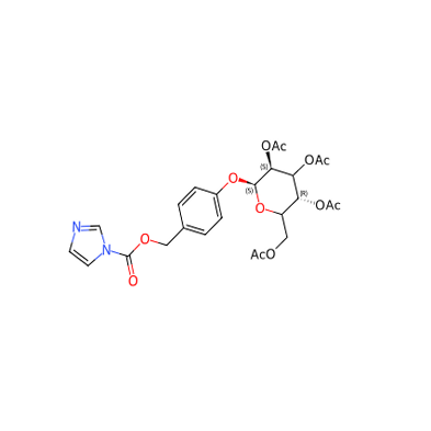 CC(=O)OCC1O[C@@H](Oc2ccc(COC(=O)n3ccnc3)cc2)[C@@H](OC(C)=O)C(OC(C)=O)[C@@H]1OC(C)=O